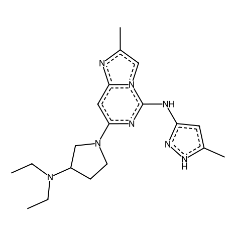 CCN(CC)C1CCN(c2cc3nc(C)cn3c(Nc3cc(C)[nH]n3)n2)C1